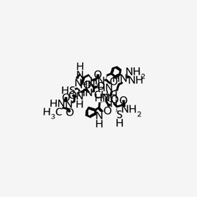 C[C@@H](NC(=O)[C@H](CS)NC(=O)CN1C(=O)N[C@H](C)C1=O)C(=O)N[C@@H](Cc1cnc[nH]1)C(=O)N[C@H](Cc1ccccc1)C(=O)N[C@@H](CCCNC(=N)N)C(=O)N[C@@H](Cc1c[nH]c2ccccc12)C(=O)N[C@@H](CS)C(N)=O